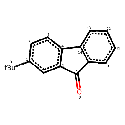 CC(C)(C)c1ccc2c(c1)C(=O)c1ccccc1-2